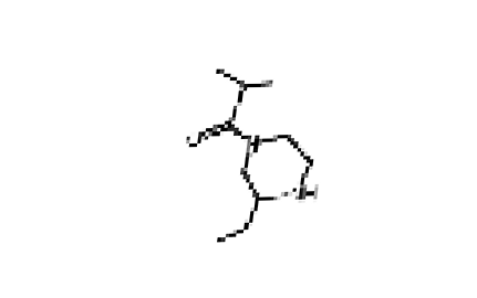 CCC1CN(C(=O)C(C)C)CCN1